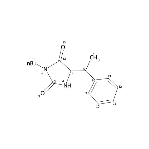 CCCCN1C(=O)NC(C(C)c2ccccc2)C1=O